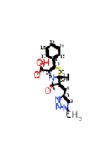 Cn1cc(C=C2C(=O)N3C(C(=O)O)=C(c4ccccc4)S[C@H]23)nn1